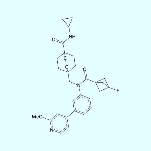 COc1cc(-c2cccc(N(CC34CCC(C(=O)NC5CC5)(CC3)CC4)C(=O)C34CC(F)(C3)C4)c2)ccn1